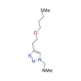 CNCn1cc(CCOCCCSC)nn1